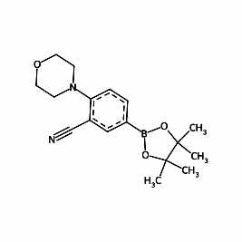 CC1(C)OB(c2ccc(N3CCOCC3)c(C#N)c2)OC1(C)C